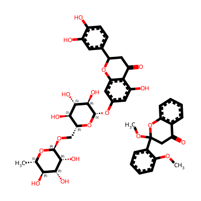 COc1ccccc1C1(OC)CC(=O)c2ccccc2O1.C[C@@H]1O[C@@H](OC[C@H]2O[C@@H](Oc3cc(O)c4c(c3)OC(c3ccc(O)c(O)c3)CC4=O)[C@H](O)[C@@H](O)[C@@H]2O)[C@H](O)[C@H](O)[C@H]1O